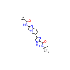 C[C@@H](NC(=O)c1nc(-c2ccc3nc(NC(=O)C4CC4)cn3c2)c[nH]1)C(F)(F)F